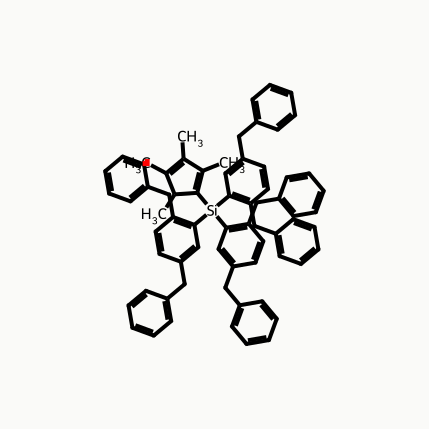 CC1=C(C)C(C)C([Si](c2cc(Cc3ccccc3)ccc2Cc2ccccc2)(c2cc(Cc3ccccc3)ccc2Cc2ccccc2)c2cc(Cc3ccccc3)ccc2Cc2ccccc2)=C1C